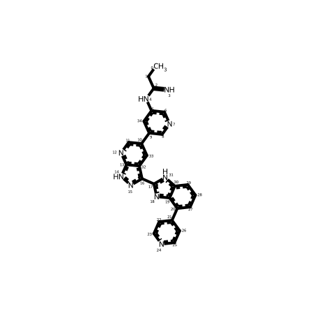 CCC(=N)Nc1cncc(-c2cnc3[nH]nc(-c4nc5c(-c6ccncc6)cccc5[nH]4)c3c2)c1